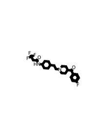 O=C(CC(F)(F)F)NC1CCC(CCN2CCC(C(=O)c3ccc(F)cc3)CC2)CC1